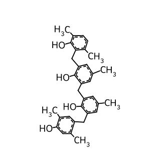 Cc1cc(Cc2cc(C)c(O)cc2C)c(O)c(Cc2cc(C)cc(Cc3c(C)ccc(C)c3O)c2O)c1